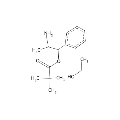 CC(N)C(OC(=O)C(C)(C)C)c1ccccc1.CCO